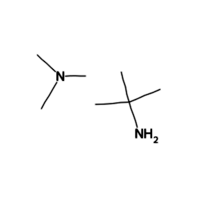 CC(C)(C)N.CN(C)C